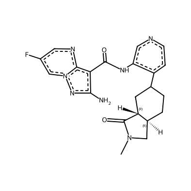 CN1C[C@@H]2CCC(c3ccncc3NC(=O)c3c(N)nn4cc(F)cnc34)C[C@H]2C1=O